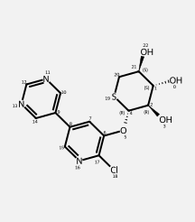 O[C@@H]1[C@@H](O)[C@H](Oc2cc(-c3cncnc3)cnc2Cl)SC[C@H]1O